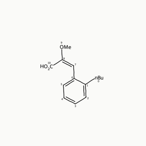 CCCCc1ccccc1C=C(OC)C(=O)O